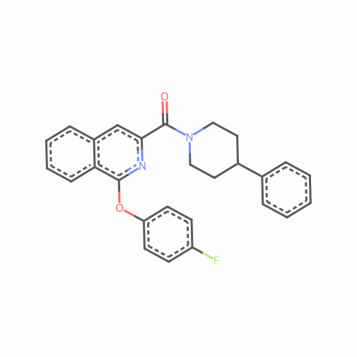 O=C(c1cc2ccccc2c(Oc2ccc(F)cc2)n1)N1CCC(c2ccccc2)CC1